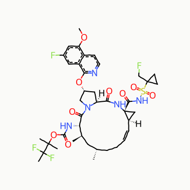 COc1cc(F)cc2c(O[C@@H]3C[C@H]4C(=O)N[C@]5(C(=O)NS(=O)(=O)C6(CF)CC6)C[C@H]5C=CCC[C@H](C)C[C@@H](C)[C@H](NC(=O)OC(C)(C)C(C)(F)F)C(=O)N4C3)nccc12